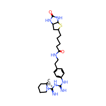 CC1CCCCN1C(=N)NC(=N)Nc1ccc(CCNC(=O)CCCCC2CC3NC(=O)NC3S2)cc1